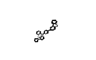 c1ccc(N(c2ccc(-c3ccc4sc5ccccc5c4c3)cc2)c2cccc3c2sc2ccccc23)cc1